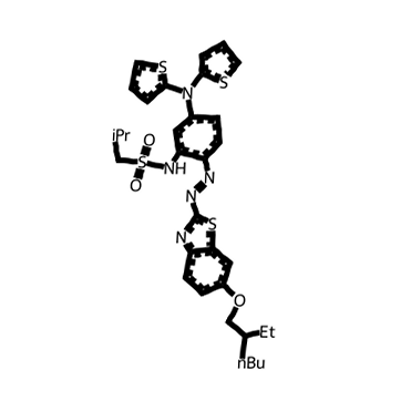 CCCCC(CC)COc1ccc2nc(N=Nc3ccc(N(c4cccs4)c4cccs4)cc3NS(=O)(=O)CC(C)C)sc2c1